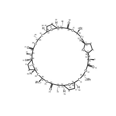 CC[C@H]1C[C@@H]2CC[C@@H](O2)[C@@H](C)C(=O)O[C@H](C(C)C)C[C@H]2CC[C@H](O2)[C@H](C)C(=O)O[C@@H](C(C)C)C[C@@H]2CC[C@@H](O2)[C@@H](C)C(=O)O[C@H](C)C[C@H]2CC[C@H](O2)[C@H](C)C(=O)O1